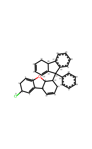 ClC1C=C2C(=CC1)OC1C2C=CCC1C1(c2ccccc2)C2=CC=CCC2c2ccccc21